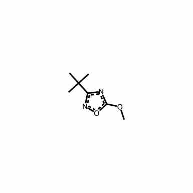 COc1nc(C(C)(C)C)no1